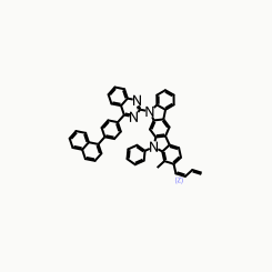 C=C/C=C\c1ccc2c3cc4c5ccccc5n(-c5nc(-c6ccc(-c7cccc8ccccc78)cc6)c6ccccc6n5)c4cc3n(-c3ccccc3)c2c1C